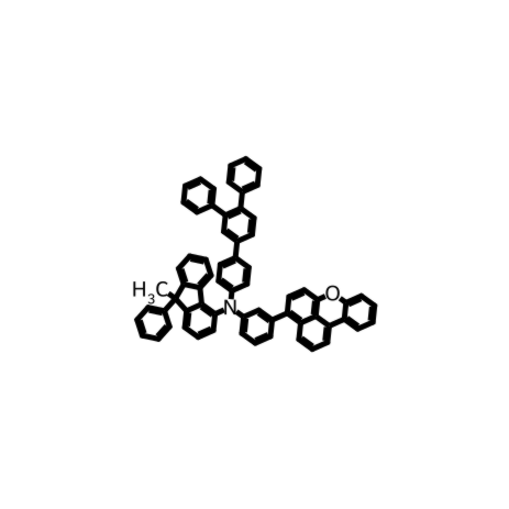 CC1(c2ccccc2)c2ccccc2-c2c(N(c3ccc(-c4ccc(-c5ccccc5)c(-c5ccccc5)c4)cc3)c3cccc(-c4ccc5c6c(cccc46)-c4ccccc4O5)c3)cccc21